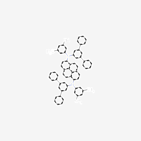 Cc1cc(C)cc(N(c2cc(-c3ccccc3)cc(-c3ccccc3)c2)c2ccc3ccc4c(N(c5cc(C)cc(C)c5)c5cc(-c6ccccc6)cc(-c6ccccc6)c5)ccc5ccc2c3c54)c1